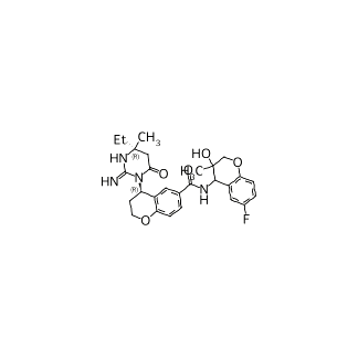 CC[C@]1(C)CC(=O)N([C@@H]2CCOc3ccc(C(=O)NC4c5cc(F)ccc5OCC4(C)O)cc32)C(=N)N1